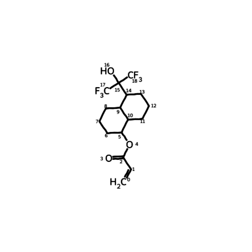 C=CC(=O)OC1CCCC2C1CCCC2C(O)(C(F)(F)F)C(F)(F)F